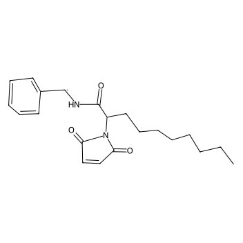 CCCCCCCCC(C(=O)N[CH]c1ccccc1)N1C(=O)C=CC1=O